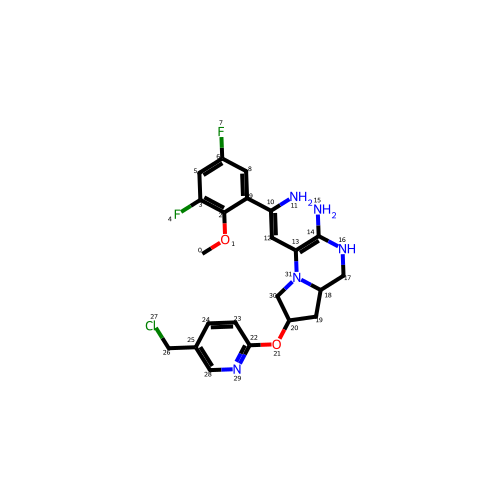 COc1c(F)cc(F)cc1/C(N)=C/C1=C(N)NCC2CC(Oc3ccc(CCl)cn3)CN12